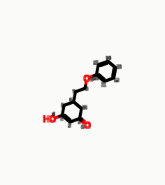 O=C1C=C(O)CC(CCOc2ccccc2)C1